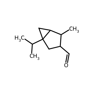 CC1C(C=O)CC2(C(C)C)CC12